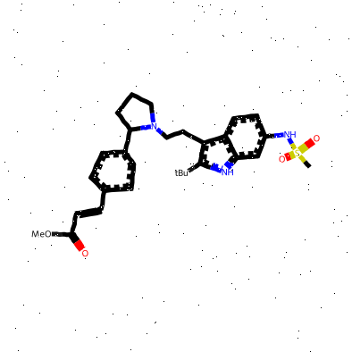 COC(=O)C=Cc1ccc(C2CCCN2CCc2c(C(C)(C)C)[nH]c3cc(NS(C)(=O)=O)ccc23)cc1